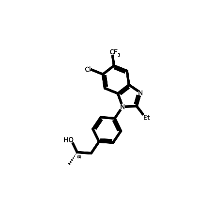 CCc1nc2cc(C(F)(F)F)c(Cl)cc2n1-c1ccc(C[C@H](C)O)cc1